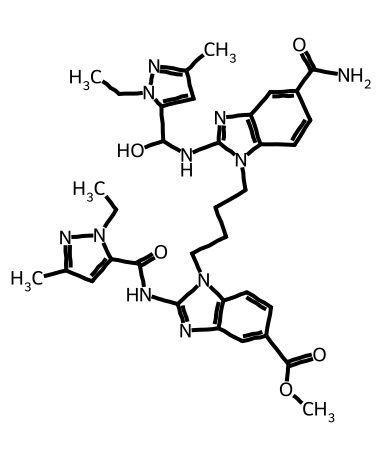 CCn1nc(C)cc1C(=O)Nc1nc2cc(C(=O)OC)ccc2n1CCCCn1c(NC(O)c2cc(C)nn2CC)nc2cc(C(N)=O)ccc21